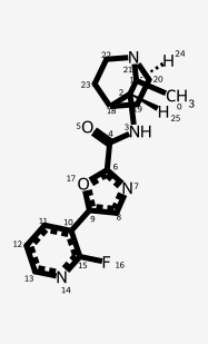 C[C@H]1[C@H](NC(=O)c2ncc(-c3cccnc3F)o2)C2CCN1CC2